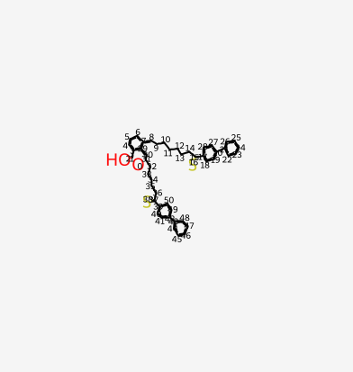 O=C(O)c1cccc(=CCCCCCCC(=S)c2ccc(-c3ccccc3)cc2)c1=CCCCCCCC(=S)c1ccc(-c2ccccc2)cc1